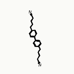 N#CCCCCc1ccc(-c2ccc(CCCCC#N)cc2)cc1